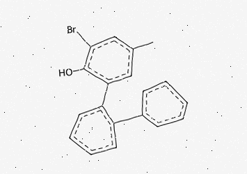 Cc1cc(Br)c(O)c(-c2ccccc2-c2ccccc2)c1